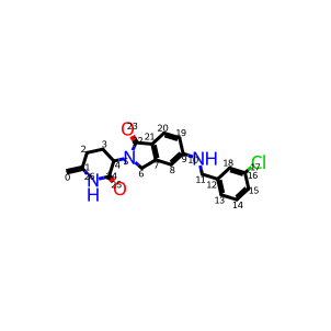 C=C1CCC(N2Cc3cc(NCc4cccc(Cl)c4)ccc3C2=O)C(=O)N1